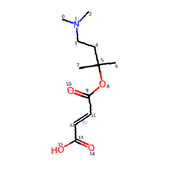 CN(C)CCC(C)(C)OC(=O)/C=C/C(=O)O